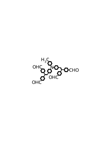 Cc1ccc(N(c2ccc(C=C(c3ccc(C=O)cc3)c3ccc(C=O)cc3)cc2)c2ccc(C=C(c3ccc(C=O)cc3)c3ccc(C=O)cc3)cc2)cc1